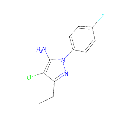 CCc1nn(-c2ccc(F)cc2)c(N)c1Cl